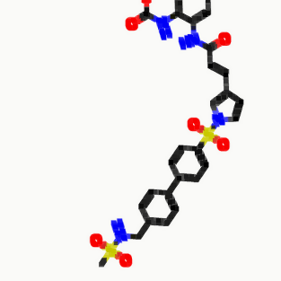 CC(C)(C)OC(=O)Nc1ccccc1NC(=O)C=Cc1ccn(S(=O)(=O)c2ccc(-c3ccc(CNS(C)(=O)=O)cc3)cc2)c1